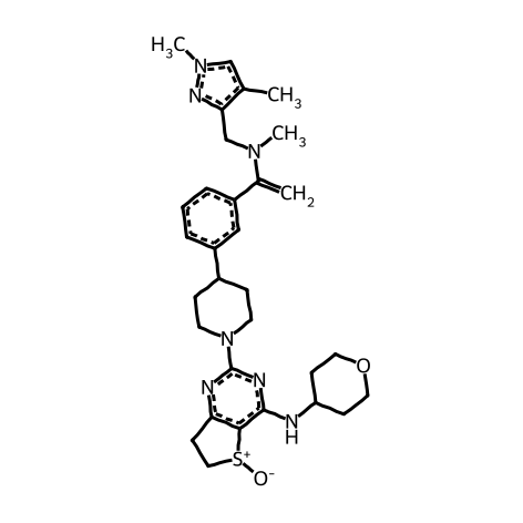 C=C(c1cccc(C2CCN(c3nc4c(c(NC5CCOCC5)n3)[S+]([O-])CC4)CC2)c1)N(C)Cc1nn(C)cc1C